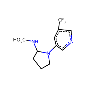 O=C(O)NC1CCCN1c1cncc(C(F)(F)F)c1